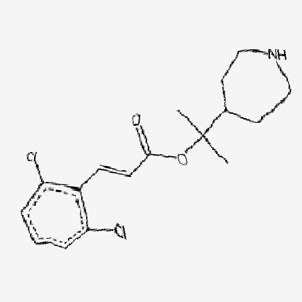 CC(C)(OC(=O)/C=C/c1c(Cl)cccc1Cl)C1CCNCC1